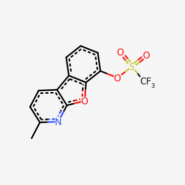 Cc1ccc2c(n1)oc1c(OS(=O)(=O)C(F)(F)F)cccc12